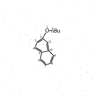 CCCCOc1ccc2[c]cccc2c1